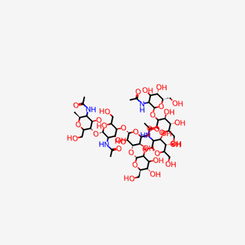 CC(=O)NC1C(O)[C@H](O)[C@H](CO)O[C@H]1OC1[C@@H](OCC2O[C@@H](O[C@@H]3C(CO)O[C@@H](O[C@@H]4C(CO)O[C@@H](C)C(NC(C)=O)[C@H]4O)C(NC(C)=O)[C@H]3O)C(O)[C@@H](O[C@H]3O[C@H](CO)[C@@H](O)C(O)C3O[C@@H]3OC(CO)[C@@H](O)[C@H](O)C3NC(C)=O)[C@@H]2O)OC(CO)[C@@H](O)[C@@H]1O